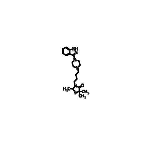 CC1SC(C)(C)C(=O)N1CCCCN1CCN(c2n[nH]c3ccccc23)CC1